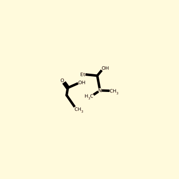 CCC(=O)O.CCC(O)N(C)C